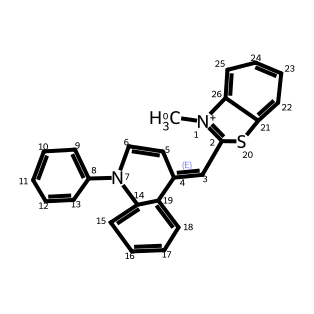 C[n+]1c(/C=C2\C=CN(c3ccccc3)c3ccccc32)sc2ccccc21